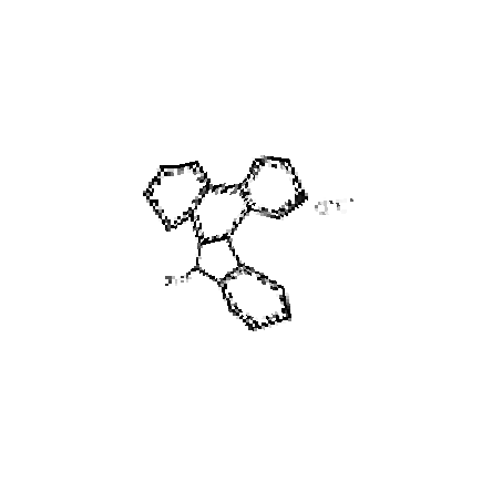 [Cl-].[Cl-].[Zr+2][CH]1c2ccccc2-c2c1c1ccccc1c1ccccc21